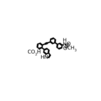 CS(=O)(=O)Nc1cccc(-c2cccc(C#Cc3cccc(C(=O)O)c3-c3ccc4cc[nH]c4c3)c2)c1